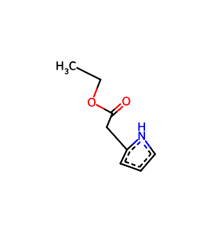 CCOC(=O)Cc1ccc[nH]1